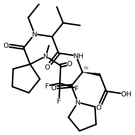 CCN(C(=O)C1(N(C)C(=O)C(F)(F)F)CCCC1)C(C(=O)N[C@@H](CC(=O)O)C(=O)N1CCCC1)C(C)C